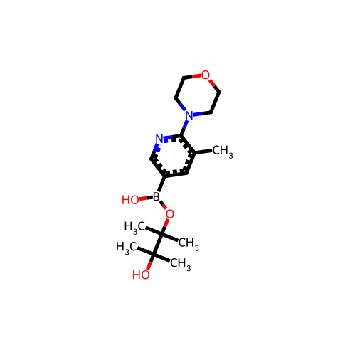 Cc1cc(B(O)OC(C)(C)C(C)(C)O)cnc1N1CCOCC1